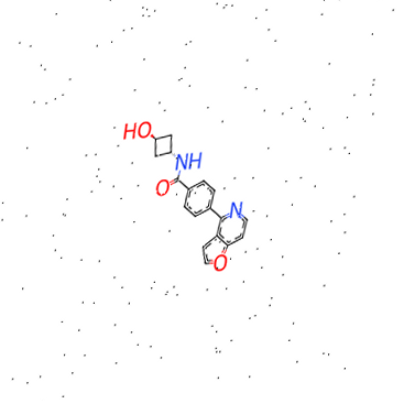 O=C(N[C@H]1C[C@H](O)C1)c1ccc(-c2nccc3occc23)cc1